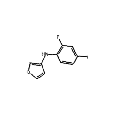 Fc1cc(I)ccc1Nc1ccoc1